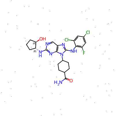 NC(=O)C1CCC(n2c(Nc3c(F)cc(Cl)cc3Cl)nc3cnc(N[C@@H]4CCC[C@H]4O)nc32)CC1